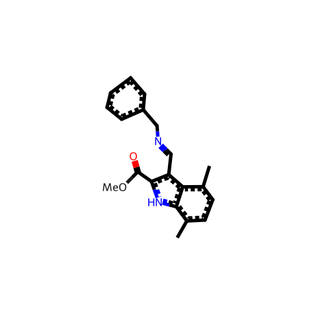 COC(=O)c1[nH]c2c(C)ccc(C)c2c1/C=N/Cc1ccccc1